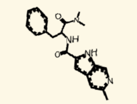 Cc1cc2cc(C(=O)NC(Cc3ccccc3)C(=O)N(C)C)[nH]c2cn1